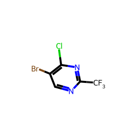 FC(F)(F)c1ncc(Br)c(Cl)n1